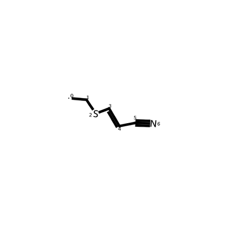 [CH2]CSC=CC#N